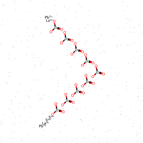 [La+3].[La+3].[O]=[Zr]([O-])[O-].[O]=[Zr]([O-])[O-].[O]=[Zr]([O-])[O-].[O]=[Zr]([O-])[O-].[O]=[Zr]([O-])[O-].[O]=[Zr]([O-])[O-].[O]=[Zr]([O-])[O-].[O]=[Zr]([O-])[O-].[O]=[Zr]([O-])[O-].[Pb+2].[Pb+2].[Ti+4].[Ti+4]